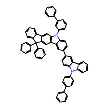 c1ccc(-c2ccc(-n3c4ccccc4c4cc(-c5ccc6c(c5)c5cc7c(cc5n6-c5cccc(-c6ccccc6)c5)-c5ccccc5C7(c5ccccc5)c5ccccc5)ccc43)cc2)cc1